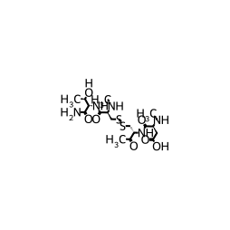 CN[C@@H](CC(=O)O)C(=O)N[C@@H](CSSC[C@H](NC)C(=O)N[C@H](C(N)=O)[C@@H](C)O)C(C)=O